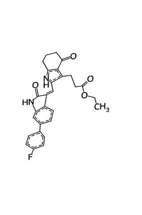 CCOC(=O)CCc1c(C=C2C(=O)Nc3cc(-c4ccc(F)cc4)ccc32)[nH]c2c1C(=O)CCC2